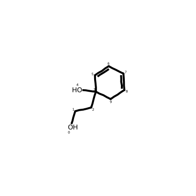 OCCC1(O)C=CC=CC1